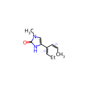 C/C=C\C(=C/CC)c1cn(C)c(=O)[nH]1